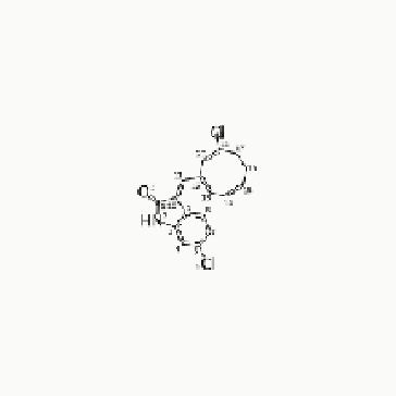 O=C1Nc2cc(Cl)ccc2/C1=C\C1=C/C=C\CC/C(Cl)=C\1